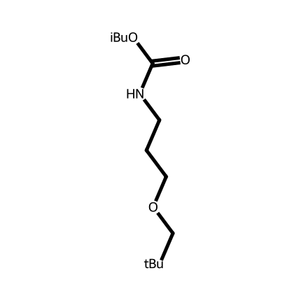 CC(C)COC(=O)NCCCOCC(C)(C)C